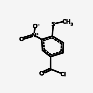 CSc1ccc(C(=O)Cl)cc1[N+](=O)[O-]